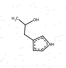 CC(O)Cc1cc[nH]c1